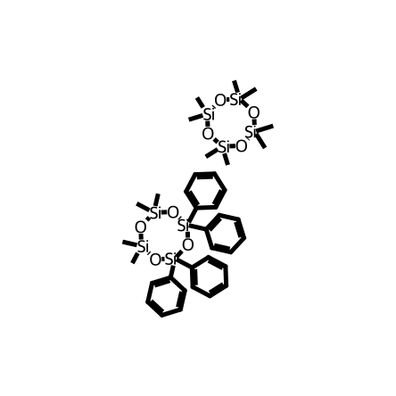 C[Si]1(C)O[Si](C)(C)O[Si](C)(C)O[Si](C)(C)O1.C[Si]1(C)O[Si](C)(C)O[Si](c2ccccc2)(c2ccccc2)O[Si](c2ccccc2)(c2ccccc2)O1